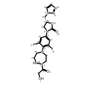 O=C(CO)N1CCN(c2c(F)cc(N3C[C@H](Cn4ccnn4)OC3=O)cc2F)CCN1